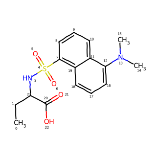 CCC(NS(=O)(=O)c1cccc2c(N(C)C)cccc12)C(=O)O